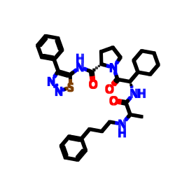 CC(NCCCc1ccccc1)C(=O)N[C@H](C(=O)N1CCC[C@H]1C(=O)Nc1snnc1-c1ccccc1)C1CCCCC1